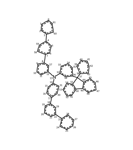 c1ccc(-c2ccc(-c3cccc(N(c4ccc(-c5cccc(-c6ccccc6)c5)cc4)c4cccc(C5(c6ccccc6)c6ccccc6-c6ccccc65)c4)c3)cc2)cc1